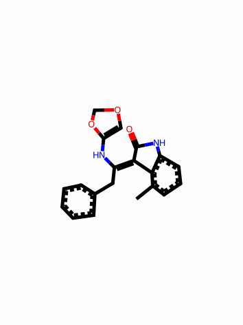 Cc1cccc2c1C(=C(Cc1ccccc1)NC1=COCO1)C(=O)N2